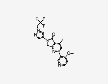 COc1ccncc1-c1cc(C)c2c(n1)CN(c1cnn(CC(F)(F)F)c1)C2=O